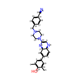 Cc1cc(-c2ccc3ncc(N4CCN(Cc5ccc(C#N)cc5)CC4)nc3c2)cc(C)c1O